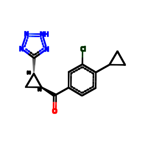 O=C(c1ccc(C2CC2)c(Cl)c1)[C@H]1C[C@@H]1c1nn[nH]n1